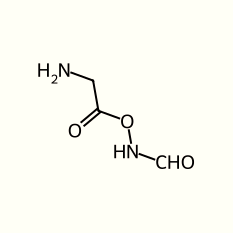 NCC(=O)ONC=O